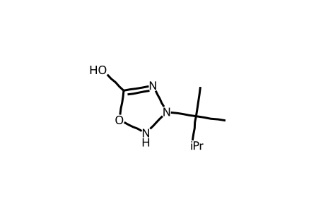 CC(C)C(C)(C)N1N=C(O)ON1